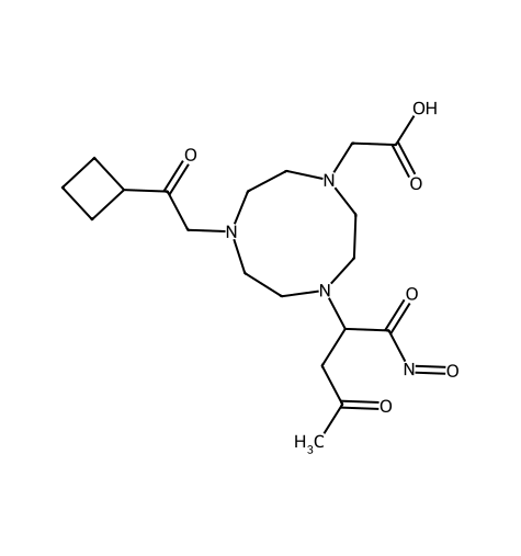 CC(=O)CC(C(=O)N=O)N1CCN(CC(=O)O)CCN(CC(=O)C2CCC2)CC1